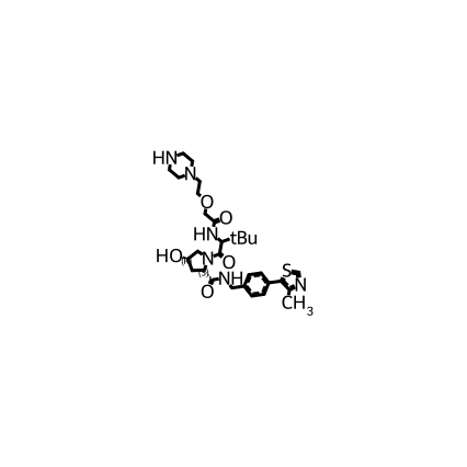 Cc1ncsc1-c1ccc(CNC(=O)[C@@H]2C[C@@H](O)CN2C(=O)C(NC(=O)COCCN2CCNCC2)C(C)(C)C)cc1